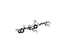 Cc1c(OCCCCN(C)C)ccc(C(C)N2CC(CNC(=O)c3ccc4cc[nH]c4c3)C2)c1C